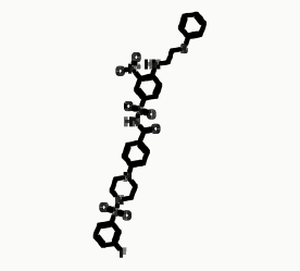 O=C(NS(=O)(=O)c1ccc(NCCSc2ccccc2)c([N+](=O)[O-])c1)c1ccc(N2CCN(S(=O)(=O)c3cccc(F)c3)CC2)cc1